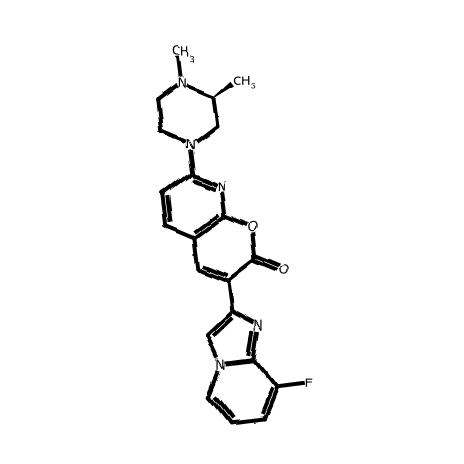 C[C@H]1CN(c2ccc3cc(-c4cn5cccc(F)c5n4)c(=O)oc3n2)CCN1C